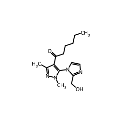 CCCCCC(=O)c1c(C)nn(C)c1-n1ccnc1CO